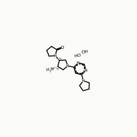 Cl.Cl.N[C@H]1CN(c2cc(N3CCCC3)ncn2)C[C@@H]1N1CCCC1=O